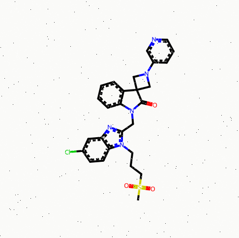 CS(=O)(=O)CCCn1c(CN2C(=O)C3(CN(c4cccnc4)C3)c3ccccc32)nc2cc(Cl)ccc21